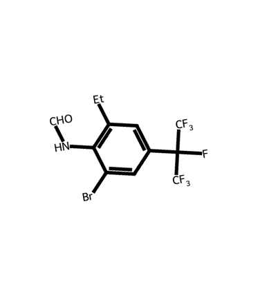 CCc1cc(C(F)(C(F)(F)F)C(F)(F)F)cc(Br)c1NC=O